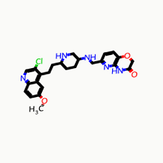 COc1ccc2ncc(Cl)c(CCC3CCC(NCc4ccc5c(n4)NC(=O)CO5)CN3)c2c1